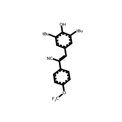 CC(C)(C)c1cc(/C=C(\C#N)c2ccc(OC(F)(F)F)cc2)cc(C(C)(C)C)c1O